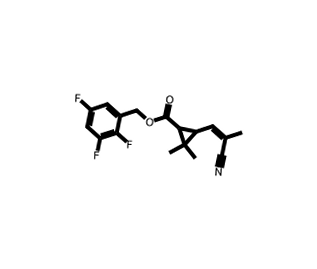 CC(C#N)=CC1C(C(=O)OCc2cc(F)cc(F)c2F)C1(C)C